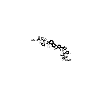 COC(=O)NC(C(=O)N1[C@@H](C)CC[C@H]1c1nc2ccc3cc4c(cc3c2[nH]1)OCc1cc(-c2cnc([C@@H]3C[C@H](C)CN3C(=O)C(NC(=O)OC)[C@@H](C)OC)[nH]2)ccc1-4)C(C)C